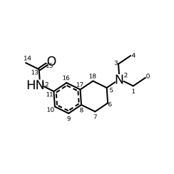 CCN(CC)C1CCc2ccc(NC(C)=O)cc2C1